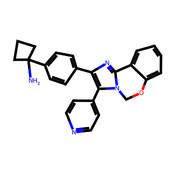 NC1(c2ccc(-c3nc4n(c3-c3ccncc3)COc3ccccc3-4)cc2)CCC1